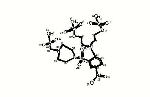 CS(=O)(=O)OCCN(CCOS(C)(=O)=O)c1ccc([N+](=O)[O-])cc1S(=O)(=O)N1CCN(CS(=O)(=O)O)CC1